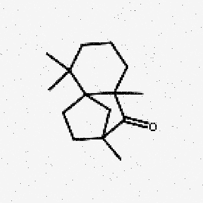 CC12CCC3(C1)C(C)(C)CCCC3(C)C2=O